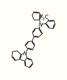 Cc1ccccc1N(C1=CC=CCC1)c1ccc(-c2ccc(-n3c4c(c5ccccc53)C=CCC4)cc2)cc1